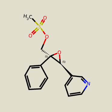 CS(=O)(=O)OC[C@]1(c2ccccc2)O[C@H]1c1cccnc1